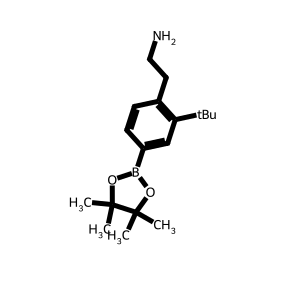 CC(C)(C)c1cc(B2OC(C)(C)C(C)(C)O2)ccc1CCN